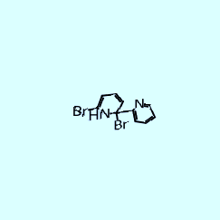 BrC1=CC=CC(Br)(c2ccccn2)N1